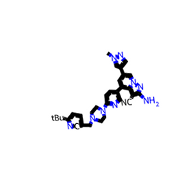 Cn1cc(-c2cc(-c3ccc(N4CCN(Cc5ccc(C(C)(C)C)nc5)CC4)nc3)c3c(C#N)c(N)nn3c2)cn1